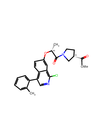 COC(=O)[C@H]1CCN(C(=O)[C@@H](C)Oc2ccc3c(-c4ccccc4C)cnc(Cl)c3c2)C1